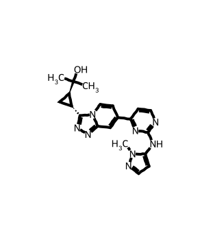 Cn1nccc1Nc1nccc(-c2ccn3c([C@@H]4C[C@H]4C(C)(C)O)nnc3c2)n1